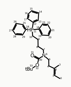 C/C=C(\C)CCN(CCCC[PH](c1ccccc1)(c1ccccc1)c1ccccc1)C(=O)OC(C)(C)C